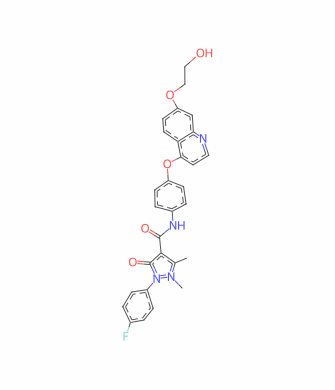 Cc1c(C(=O)Nc2ccc(Oc3ccnc4cc(OCCO)ccc34)cc2)c(=O)n(-c2ccc(F)cc2)n1C